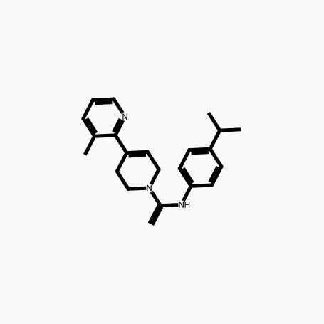 C=C(Nc1ccc(C(C)C)cc1)N1CC=C(c2ncccc2C)CC1